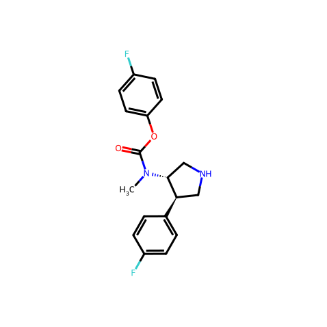 CN(C(=O)Oc1ccc(F)cc1)[C@@H]1CNC[C@H]1c1ccc(F)cc1